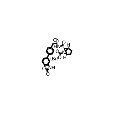 CC(C)(C)OC(=O)N1[C@@H]2CC[C@@H](C2)[C@H]1C(=O)N[C@H](C#N)Cc1ccc(-c2ccc3oc(=O)[nH]c3c2)cc1